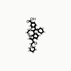 O=C(O)c1ccc2c(C3CCCCC3)c3n(c2c1)CCCn1cc(C(=O)CN2CCCCC2)c2cccc-3c21